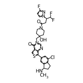 CNC1CCc2c(Cl)cc(-c3scc4c(=O)n(CC5(O)CCN(C(=O)CC(C(F)F)n6ccc(F)n6)CC5)cnc34)cc21